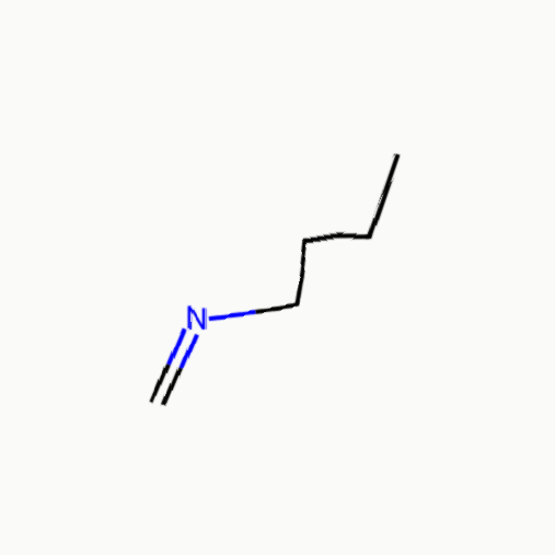 C=NCCCC